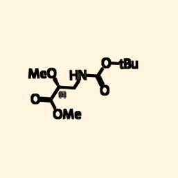 COC(=O)[C@H](CNC(=O)OC(C)(C)C)OC